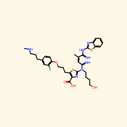 CNCCCc1ccc(OCCCc2sc(N(CCCCO)C(=N)/C=C(/C)C(=N)Nc3nc4ccccc4s3)nc2C(=O)O)c(F)c1